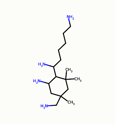 CC1(CN)CC(N)C(C(N)CCCCCN)C(C)(C)C1